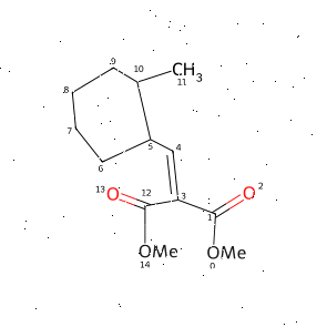 COC(=O)C(=CC1CCCCC1C)C(=O)OC